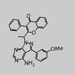 COc1cccc(-c2nn(C(C)c3oc4ccccc4c(=O)c3-c3ccccc3)c3ncnc(N)c23)c1